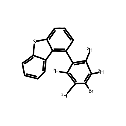 [2H]c1c([2H])c(-c2cccc3sc4ccccc4c23)c([2H])c([2H])c1Br